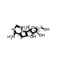 Nc1ncnn2c([C@]3(N)O[C@H](CO)[C@@H](O)[C@H]3O)ccc12